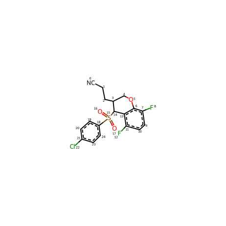 N#CCCC1COc2c(F)ccc(F)c2C1S(=O)(=O)c1ccc(Cl)cc1